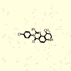 CC(C)c1nc2c3c(ccc2c(=O)n1-c1ccc(Cl)cc1)NCCC3C